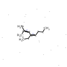 CCC/C=C(\C=C(/C)N)CC